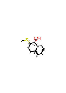 CSC1CCc2ccccc2C1O